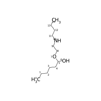 CCCCCC(O)OCCNCCCC